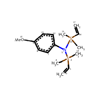 C=CS(C)(C)N(c1ccc(OC)cc1)S(C)(C)C=C